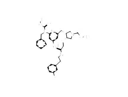 Cc1cc(C[C@H]2CN(C(=O)OC(C)(C)C)C[C@H]2OCC(=O)NCCc2cccc(F)c2)nc(N(Cc2ccccc2)C(=O)OC(C)(C)C)c1